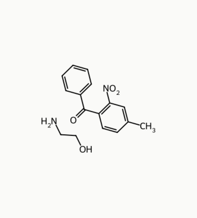 Cc1ccc(C(=O)c2ccccc2)c([N+](=O)[O-])c1.NCCO